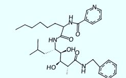 CCCCCCC(NC(=O)c1cccnc1)C(=O)N[C@@H](CC(C)C)[C@@H](O)[C@H](O)[C@@H](C)C(=O)NCc1ccccc1